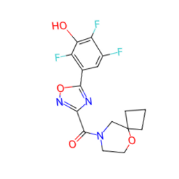 O=C(c1noc(-c2cc(F)c(F)c(O)c2F)n1)N1CCOC2(CCC2)C1